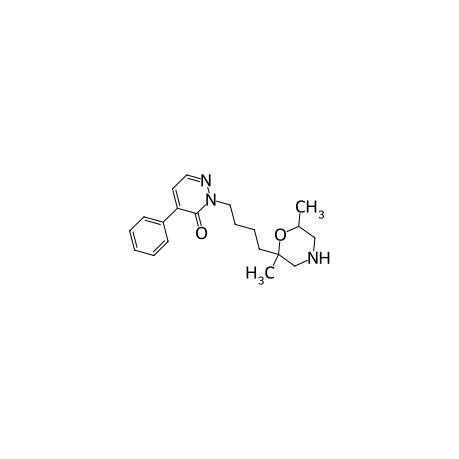 CC1CNCC(C)(CCCCn2nccc(-c3ccccc3)c2=O)O1